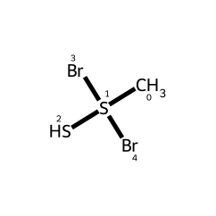 CS(S)(Br)Br